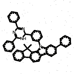 CC1(C)c2ccccc2-c2ccc3c4ccc(-c5ccccc5)cc4n(-c4cccc(C5N=C(c6ccccc6)N=C(c6ccccc6)N5)c4)c3c21